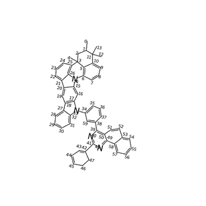 CC1CC2(C)c3c(cccc3C1(C)C)-n1c3cc4c(cc3c3cccc2c31)c1ccccc1n4-c1cccc(-c2nc(C3=CC=CCC3)nc3c2ccc2ccccc23)c1